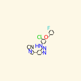 N#CCn1ccc(-c2ccc3ncnc(Nc4ccc(OCc5cccc(F)c5)c(Cl)c4)c3c2)c1